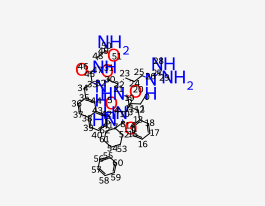 CCCCC(=O)N[C@]1(C(=O)N[C@H](Cc2ccccc2)C(=O)N[C@@H](CCCNC(=N)N)C(=O)N[C@@H](Cc2ccc3ccccc3c2)C(=O)NCC(N)=O)CC[C@H](c2ccccc2)CC1